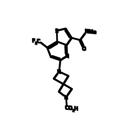 CNC(=O)c1csc2c(C(F)(F)F)cc(N3CC4(CN(C(=O)O)C4)C3)nc12